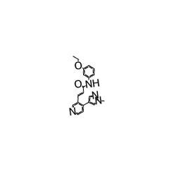 CCOc1cccc(NC(=O)C=Cc2cnccc2-c2cnn(C)c2)c1